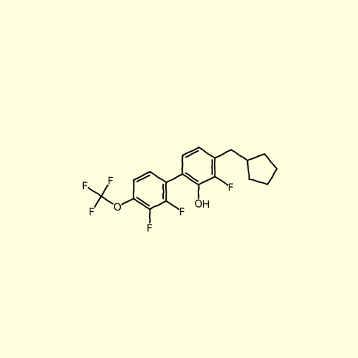 Oc1c(-c2ccc(OC(F)(F)F)c(F)c2F)ccc(CC2CCCC2)c1F